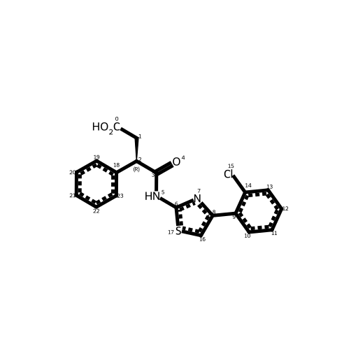 O=C(O)C[C@@H](C(=O)Nc1nc(-c2ccccc2Cl)cs1)c1ccccc1